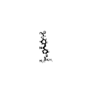 CN(C)N=Nc1ccc(C=Cc2ccc(OCC(=O)[O-])cc2)cc1.[Na+]